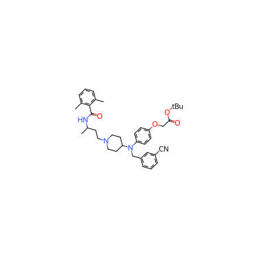 Cc1cccc(C)c1C(=O)NC(C)CCN1CCC(N(Cc2cccc(C#N)c2)c2ccc(OCC(=O)OC(C)(C)C)cc2)CC1